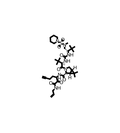 C#CCCC(NC(=O)[C@@H]1[C@@H]2[C@H](CN1C(=O)[C@@H](NC(=O)N[C@H](CN(C)S(=O)(=O)N1CCCCC1)C(C)(C)C)C(C)(C)C)C2(C)C)C(=O)C(=O)NCC=C